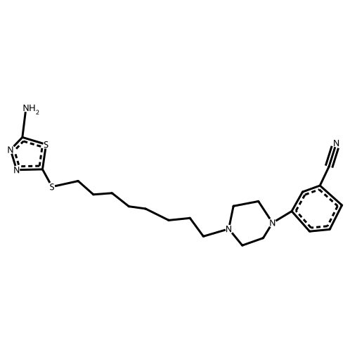 N#Cc1cccc(N2CCN(CCCCCCCCSc3nnc(N)s3)CC2)c1